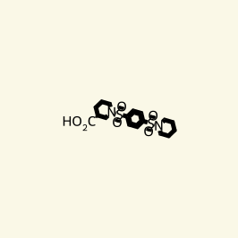 O=C(O)[C@H]1CCCN(S(=O)(=O)c2ccc(S(=O)(=O)N3CCCCC3)cc2)C1